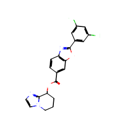 O=C(OC1CCCn2ccnc21)c1ccc2nc(-c3cc(Cl)cc(Cl)c3)oc2c1